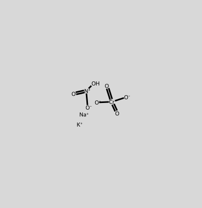 O=[N+]([O-])O.[K+].[Na+].[O]=[Cr](=[O])([O-])[O-]